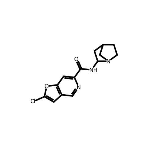 O=C(NC1CC2CCN1C2)c1cc2oc(Cl)cc2cn1